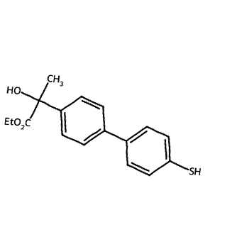 CCOC(=O)C(C)(O)c1ccc(-c2ccc(S)cc2)cc1